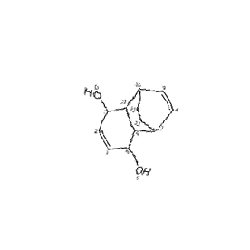 OC1C=CC(O)C2C3C=CC(CC3)C12